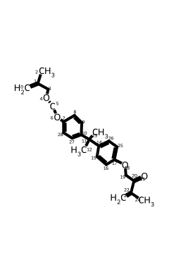 C=C(C)COCOc1ccc(C(C)(C)c2ccc(OCC(=O)C(=C)C)cc2)cc1